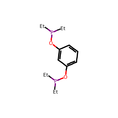 CCP(CC)Oc1cccc(OP(CC)CC)c1